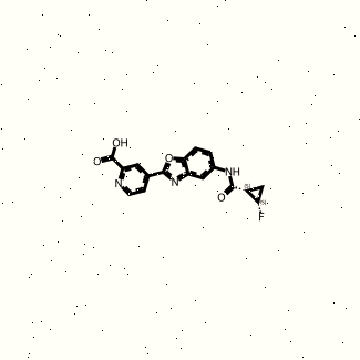 O=C(O)c1cc(-c2nc3cc(NC(=O)[C@@H]4C[C@@H]4F)ccc3o2)ccn1